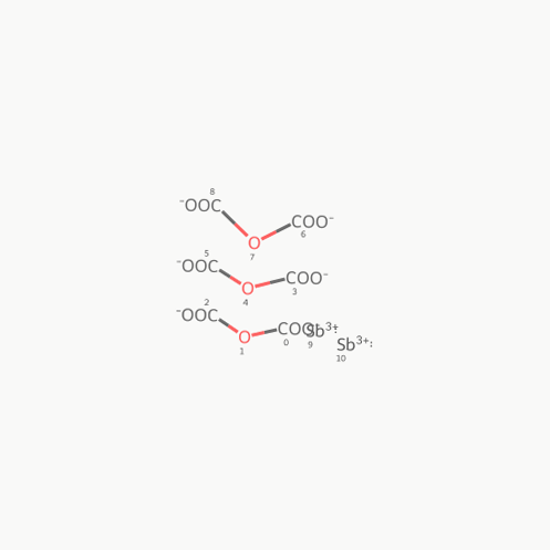 O=C([O-])OC(=O)[O-].O=C([O-])OC(=O)[O-].O=C([O-])OC(=O)[O-].[Sb+3].[Sb+3]